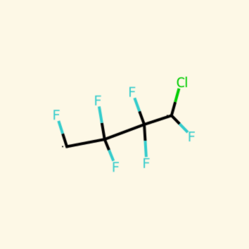 F[CH]C(F)(F)C(F)(F)[C](F)Cl